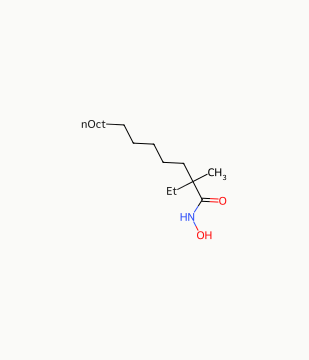 CCCCCCCCCCCCCC(C)(CC)C(=O)NO